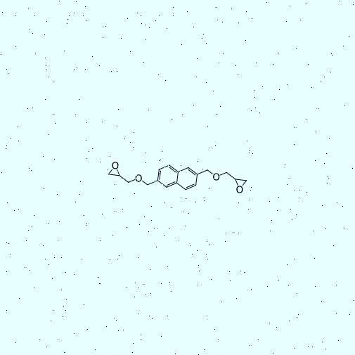 c1cc2cc(COCC3CO3)ccc2cc1COCC1CO1